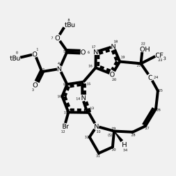 CC(C)(C)OC(=O)N(C(=O)OC(C)(C)C)c1cc(Br)c2nc1-c1nnc(o1)C(O)(C(F)(F)F)CCC=CC[C@@H]1CCCN21